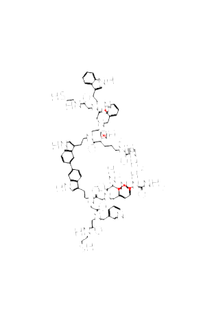 NC(=O)NCCCC(N)C(=O)N(CCc1c[nH]c2ccc(-c3ccc4c(CCN(CC(=O)N(CC(=O)NCCS)Cc5cccnc5)C(=O)CN(Cc5cccnc5)C(=O)C(N)CCCNC(N)=O)c[nH]c4c3)cc12)CC(=O)N(CC(=O)N(CCc1c[nH]c2ccccc12)CC(=O)NCCS)Cc1cccnc1